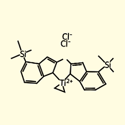 CC1=Cc2c(cccc2[Si](C)(C)C)[CH]1[Ti+2]1([CH]2C(C)=Cc3c2cccc3[Si](C)(C)C)[CH2][CH2]1.[Cl-].[Cl-]